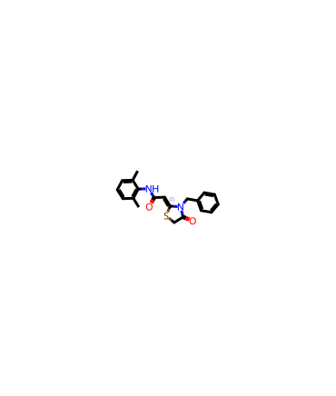 Cc1cccc(C)c1NC(=O)/C=C1\SCC(=O)N1Cc1ccccc1